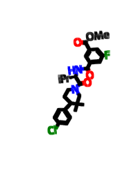 COC(=O)c1cc(F)cc(C(=O)N[C@@H](C(=O)N2CCC(c3ccc(Cl)cc3)C(C)(C)C2)C(C)C)c1